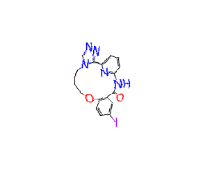 O=C1Nc2cccc(n2)-c2nncn2C2CC(COc3ccc(I)cc31)C2